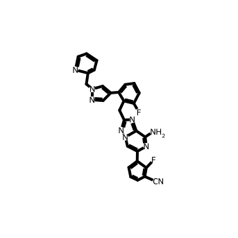 N#Cc1cccc(-c2cn3nc(Cc4c(F)cccc4-c4cnn(Cc5ccccn5)c4)nc3c(N)n2)c1F